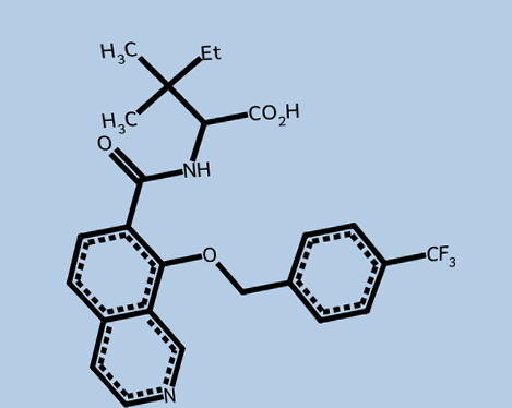 CCC(C)(C)C(NC(=O)c1ccc2ccncc2c1OCc1ccc(C(F)(F)F)cc1)C(=O)O